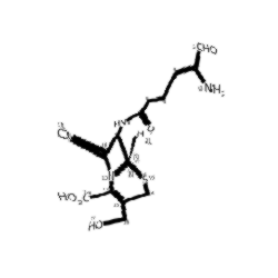 NC(C=O)CCCC(=O)NC1C(=O)N2C(C(=O)O)=C(CO)CS[C@@H]12